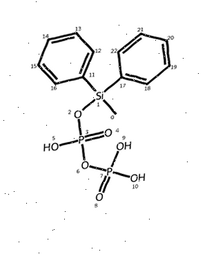 C[Si](OP(=O)(O)OP(=O)(O)O)(c1ccccc1)c1ccccc1